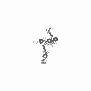 COC1C(N)=C(C(=O)Nc2ccc(C)cc2OCCCCNC(=O)C2CCN(C(=O)OC(C)(C)C)CC2)C=CC1(C)C(=O)c1ccccc1OCCCNC(=O)OC(C)(C)C